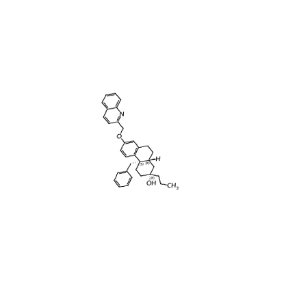 CCC[C@@]1(O)CC[C@@]2(Cc3ccccc3)c3ccc(OCc4ccc5ccccc5n4)cc3CC[C@@H]2C1